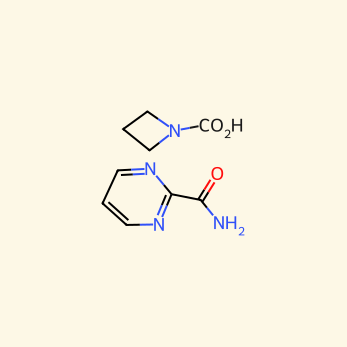 NC(=O)c1ncccn1.O=C(O)N1CCC1